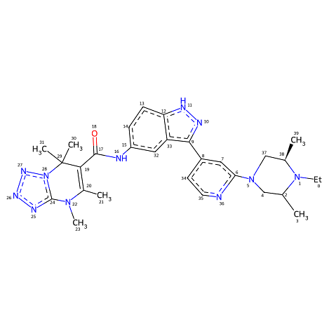 CCN1C(C)CN(c2cc(-c3n[nH]c4ccc(NC(=O)C5=C(C)N(C)c6nnnn6C5(C)C)cc34)ccn2)C[C@H]1C